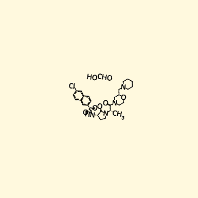 C[C@@H](C(=O)N1CCOC(CN2CCCCC2)C1)N1CC[C@H](NS(=O)(=O)c2ccc3cc(Cl)ccc3c2)C1=O.O=CO